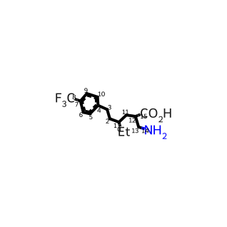 CCC(CCc1ccc(C(F)(F)F)cc1)CC(CN)C(=O)O